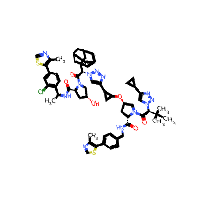 Cc1ncsc1-c1ccc(CNC(=O)[C@@H]2C[C@@H](OC3CC3c3cn([C@H](C(=O)N4C[C@H](O)C[C@H]4C(=O)NC(C)c4ccc(-c5scnc5C)cc4Cl)C45CC6CC(CC(C6)C4)C5)nn3)CN2C(=O)[C@@H](n2cc(C3CC3)nn2)C(C)(C)C)cc1